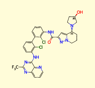 O=C(Nc1cccc(-c2cccc(Nc3nc(C(F)(F)F)nc4cccnc34)c2Cl)c1Cl)c1cc2n(n1)CCC[C@@H]2N1CC[C@@H](O)C1